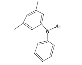 CC(=O)N(c1ccccc1)c1cc(C)cc(C)c1